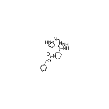 O=C(OCc1ccccc1)N1CCCC(C2=C3c4cc[nH]c4N=CN3NN2)C1